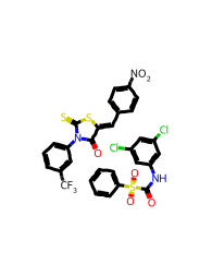 O=C(Nc1cc(Cl)cc(Cl)c1)S(=O)(=O)c1ccccc1.O=C1C(=Cc2ccc([N+](=O)[O-])cc2)SC(=S)N1c1cccc(C(F)(F)F)c1